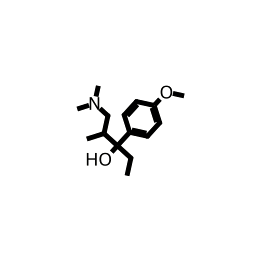 CCC(O)(c1ccc(OC)cc1)C(C)CN(C)C